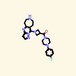 O=C(C1CN(c2c3c(nc4ccnn24)CCNCC3)C1)N1CCN(c2ccc(F)cc2)CC1